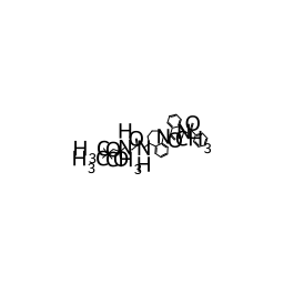 CN(C(=O)c1ccccc1)c1ccccc1C(=O)N1CCCC(NC(=O)CNC(=O)OC(C)(C)C)c2ccccc21